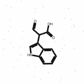 O=CC(C(=O)O)c1c[nH]c2ccccc12